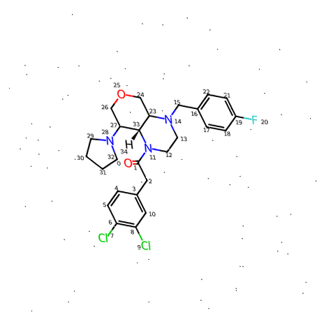 O=C(Cc1ccc(Cl)c(Cl)c1)N1CCN(Cc2ccc(F)cc2)C2COCC(N3CCCC3)[C@H]21